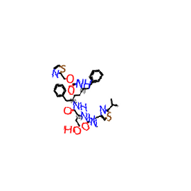 CC(C)c1nc(CN(C)C(=O)N[C@@H](CCO)C(=O)N[C@H](CC[C@H](Cc2ccccc2)NC(=O)OCc2nccs2)Cc2ccccc2)cs1